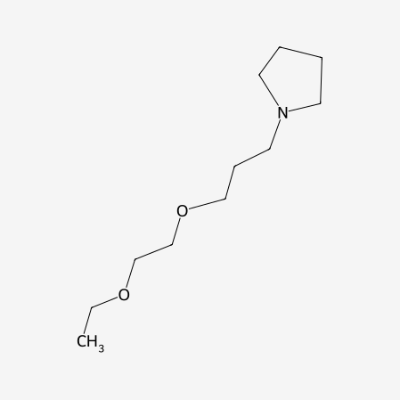 CCOCCOCCCN1CCCC1